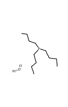 CCCCP(CCCC)CCCC.[Cl-].[Cl-].[Pt+2]